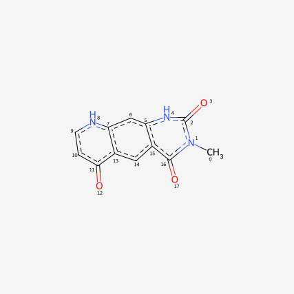 Cn1c(=O)[nH]c2cc3[nH]ccc(=O)c3cc2c1=O